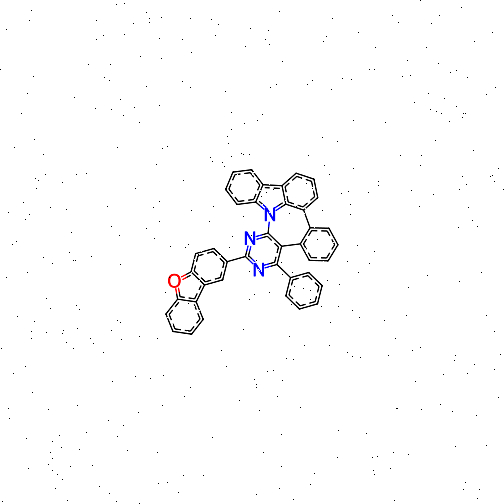 c1ccc(-c2nc(-c3ccc4oc5ccccc5c4c3)nc3c2-c2ccccc2-c2cccc4c5ccccc5n-3c24)cc1